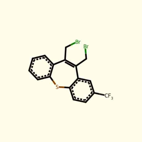 FC(F)(F)c1ccc2c(c1)C(CBr)=C(CBr)c1ccccc1S2